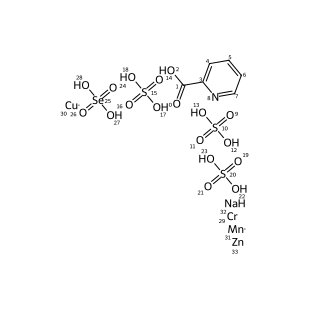 O=C(O)c1ccccn1.O=S(=O)(O)O.O=S(=O)(O)O.O=S(=O)(O)O.O=[Se](=O)(O)O.[Cr].[Cu].[Mn].[NaH].[Zn]